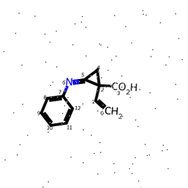 C=CC1(C(=O)O)CC1=Nc1ccccc1